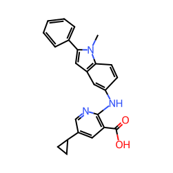 Cn1c(-c2ccccc2)cc2cc(Nc3ncc(C4CC4)cc3C(=O)O)ccc21